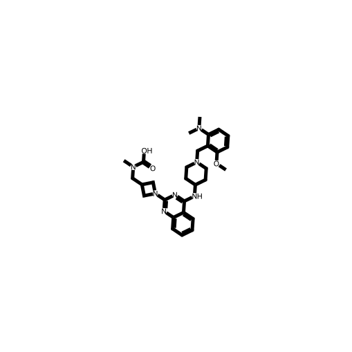 COc1cccc(N(C)C)c1CN1CCC(Nc2nc(N3CC(CN(C)C(=O)O)C3)nc3ccccc23)CC1